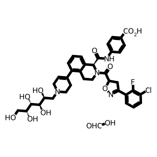 O=C(O)c1ccc(NC(=O)[C@@H]2c3cccc(C4=CCN(C[C@H](O)[C@@H](O)[C@@H](O)[C@H](O)CO)CC4)c3CCN2C(=O)C2CC(c3cccc(Cl)c3F)=NO2)cc1.O=CO